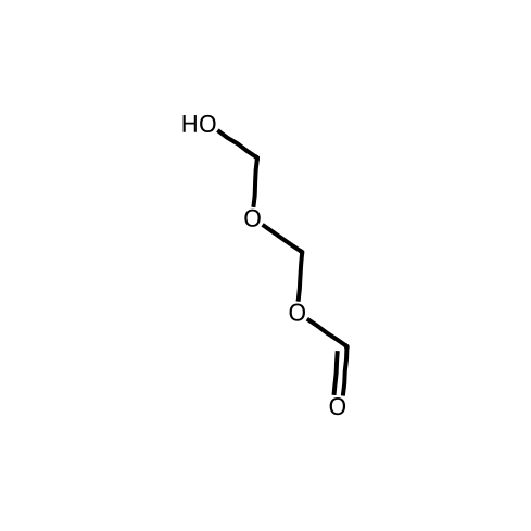 O=COCOCO